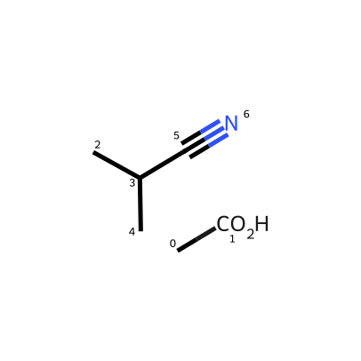 CC(=O)O.CC(C)C#N